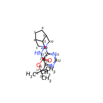 Cc1cc(N2CC3CCC(C2)C3CNC(=O)OC(C)(C)C)ncn1